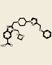 O=C(O)c1ccc2nc(CN3CCC(n4ccc(COc5ccccc5)n4)CC3)n(C[C@@H]3CCO3)c2c1